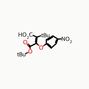 CC(C)(C)OC(=O)C(Oc1ccc([N+](=O)[O-])cc1)=C(C(=O)O)C(C)(C)C